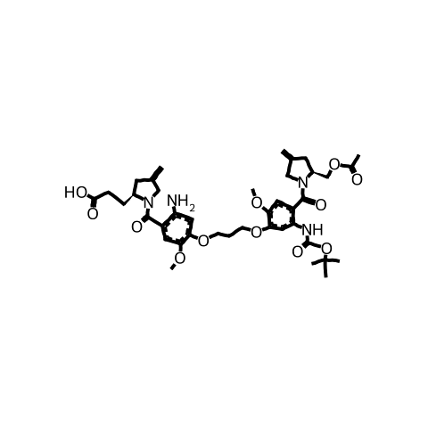 C=C1C[C@H](CCC(=O)O)N(C(=O)c2cc(OC)c(OCCCOc3cc(NC(=O)OC(C)(C)C)c(C(=O)N4CC(=C)C[C@H]4COC(C)=O)cc3OC)cc2N)C1